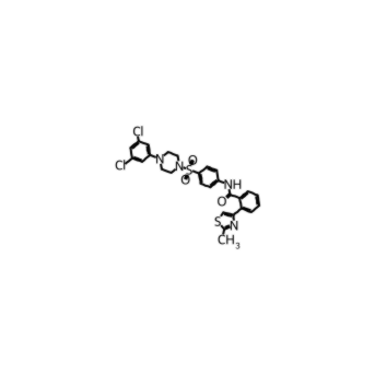 Cc1nc(-c2ccccc2C(=O)Nc2ccc(S(=O)(=O)N3CCN(c4cc(Cl)cc(Cl)c4)CC3)cc2)cs1